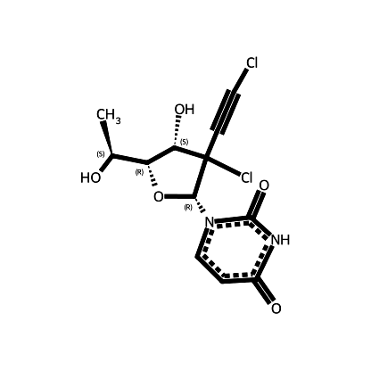 C[C@H](O)[C@H]1O[C@@H](n2ccc(=O)[nH]c2=O)C(Cl)(C#CCl)[C@H]1O